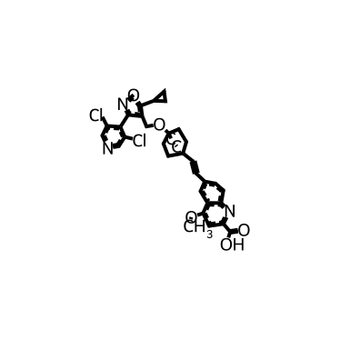 COc1cc(C(=O)O)nc2ccc(C#CC34CCC(OCc5c(-c6c(Cl)cncc6Cl)noc5C5CC5)(CC3)CC4)cc12